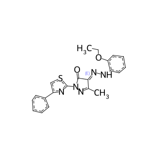 CCOc1ccccc1N/N=C1/C(=O)N(c2nc(-c3ccccc3)cs2)N=C1C